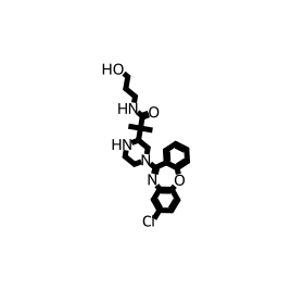 CC(C)(C(=O)NCCCO)C1CN(C2=Nc3cc(Cl)ccc3Oc3ccccc32)CCN1